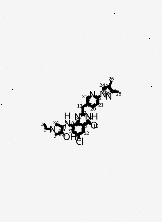 CCN1C[C@@H](O)[C@H](Nc2cc(Cl)cc3c(=O)[nH]c(Cc4ccc(-n5cc(C)c(C)n5)nc4)nc23)C1